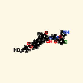 CC(C)C1=C2[C@H]3CC[C@@H]4[C@@]5(C)CC[C@H](OC(=O)[C@H]6C[C@@H](C(=O)O)C6(C)C)C(C)(C)[C@@H]5CC[C@@]4(C)[C@]3(C)CC[C@@]2([C@@H](O)CNCC(C)(C)NC(=O)c2ccc(Cl)cc2OC2CCNCC2)CC1=O